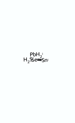 S.[PbH2].[Se]=[Sn]